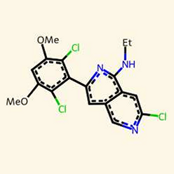 CCNc1nc(-c2c(Cl)c(OC)cc(OC)c2Cl)cc2cnc(Cl)cc12